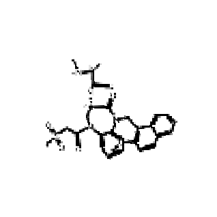 CN[C@@H](C)C(=O)N[C@H]1CN(C(=O)CS(C)(=O)=O)c2ccccc2N(Cc2c(OC)ccc3ccccc23)C1=O